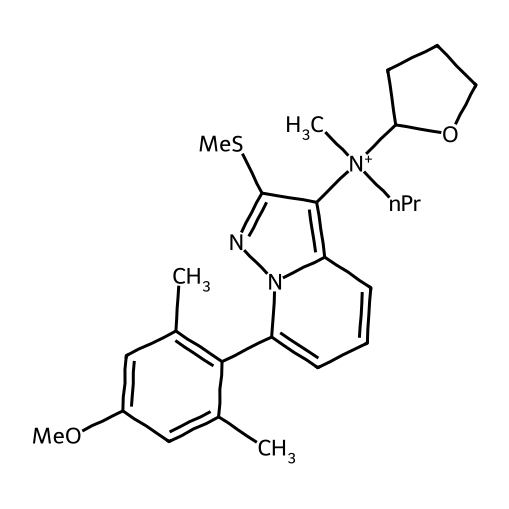 CCC[N+](C)(c1c(SC)nn2c(-c3c(C)cc(OC)cc3C)cccc12)C1CCCO1